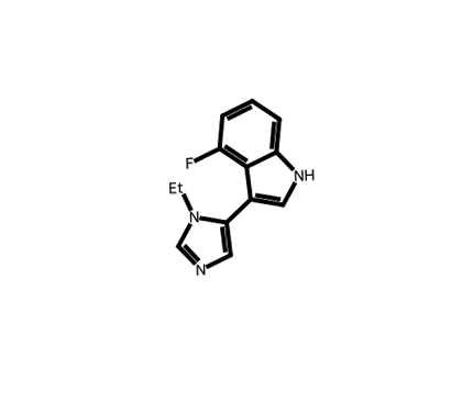 CCn1cncc1-c1c[nH]c2cccc(F)c12